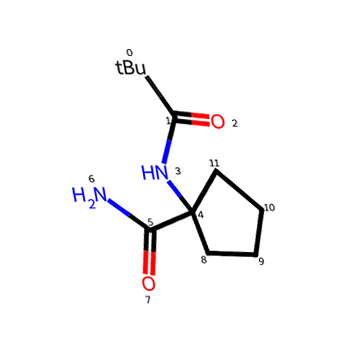 CC(C)(C)C(=O)NC1(C(N)=O)CCCC1